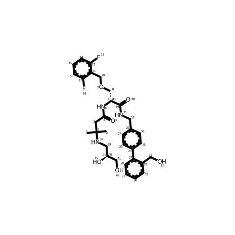 CC(C)(CC(=O)N[C@H](COCc1c(F)cccc1F)C(=O)NCc1ccc(-c2ccccc2CO)cc1)NC[C@H](O)CO